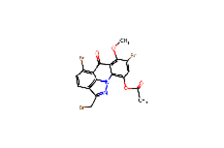 COc1c(Br)cc(OC(C)=O)c2c1c(=O)c1c(Br)ccc3c(CBr)nn2c31